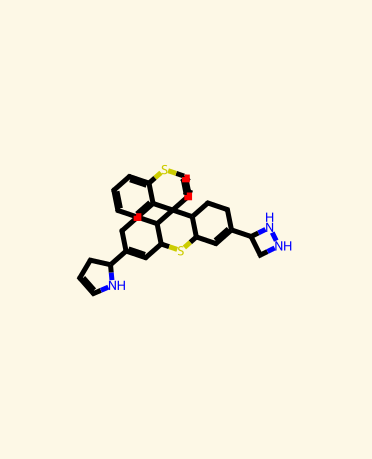 C1=CNC(C2=CC3SC4C=C(C5CNN5)CCC4C4(c5ccccc5Sc5ccccc54)C3CC2)C1